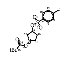 Cc1ccc(S(=O)(=O)O[C@H]2CCN(OC(=O)C(C)(C)C)C2)cc1